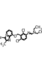 CCN(C=Nc1ccc(Cl)c(COc2cccn3c(Br)c(C)nc23)c1Cl)CC